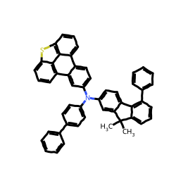 CC1(C)c2cc(N(c3ccc(-c4ccccc4)cc3)c3ccc4c(c3)c3cccc5sc6cccc4c6c53)ccc2-c2c(-c3ccccc3)cccc21